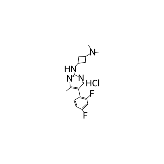 Cc1nc(NC2CC(N(C)C)C2)ncc1-c1ccc(F)cc1F.Cl